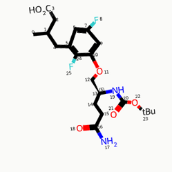 CC(CC(=O)O)Cc1cc(F)cc(OC[C@H](CCC(N)=O)NC(=O)OC(C)(C)C)c1F